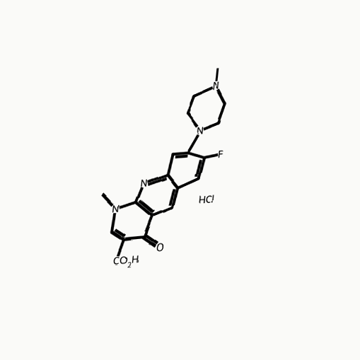 CN1CCN(c2cc3nc4c(cc3cc2F)c(=O)c(C(=O)O)cn4C)CC1.Cl